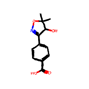 CC1(C)ON=C(c2ccc(C(=O)O)cc2)C1O